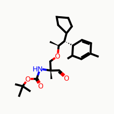 CC1=CC(C)C([C@@H](C2CCCC2)[C@H](C)OC[C@](C)(C=O)NC(=O)OC(C)(C)C)C=C1